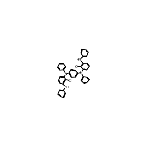 Clc1c(Nc2ccccc2)cccc1N(c1ccccc1)c1ccc(N(c2ccccc2)c2cccc(Nc3ccccc3)c2Cl)cc1